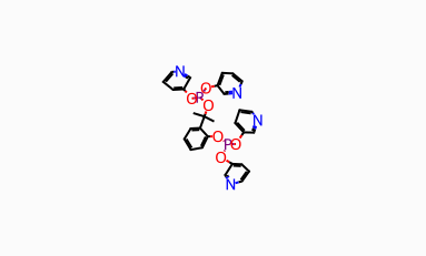 CC(C)(OP(Oc1cccnc1)Oc1cccnc1)c1ccccc1OP(Oc1cccnc1)Oc1cccnc1